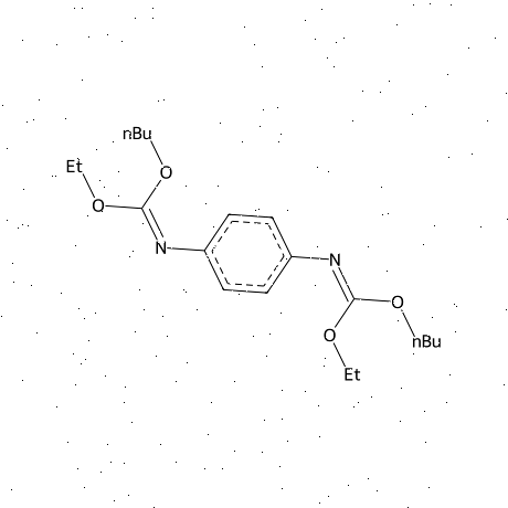 CCCCOC(=Nc1ccc(N=C(OCC)OCCCC)cc1)OCC